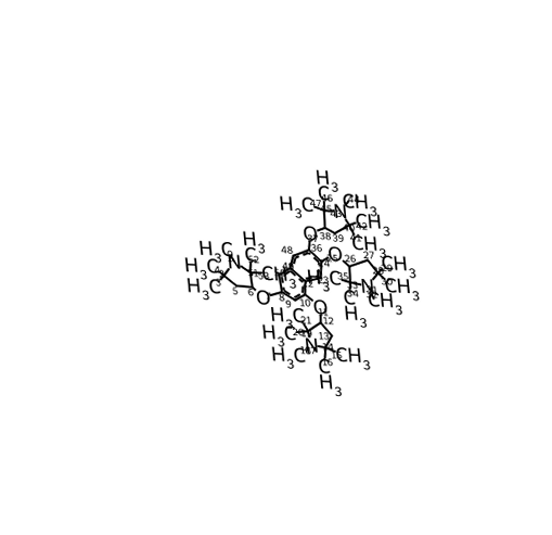 CN1C(C)(C)CC(Oc2cc(OC3CC(C)(C)N(C)C3(C)C)c3cc(OC4CC(C)(C)N(C)C4(C)C)c(OC4CC(C)(C)N(C)C4(C)C)cc3c2)C1(C)C